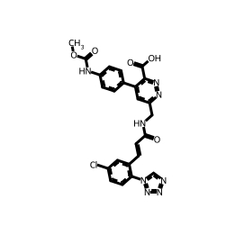 COC(=O)Nc1ccc(-c2cc(CNC(=O)/C=C/c3cc(Cl)ccc3-n3cnnn3)nnc2C(=O)O)cc1